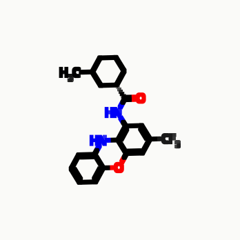 CC1CCC[C@H](C(=O)Nc2cc(C(F)(F)F)cc3c2Nc2ccccc2O3)C1